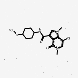 CCCCOC1CCC(NC(=O)c2cn(C)c3c(Cl)cn(C)c(=O)c23)CC1